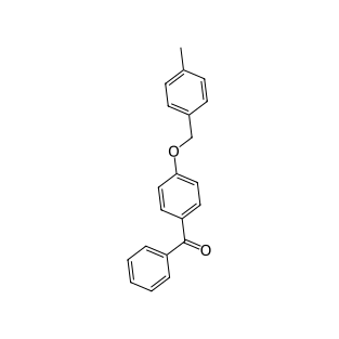 Cc1ccc(COc2ccc(C(=O)c3ccccc3)cc2)cc1